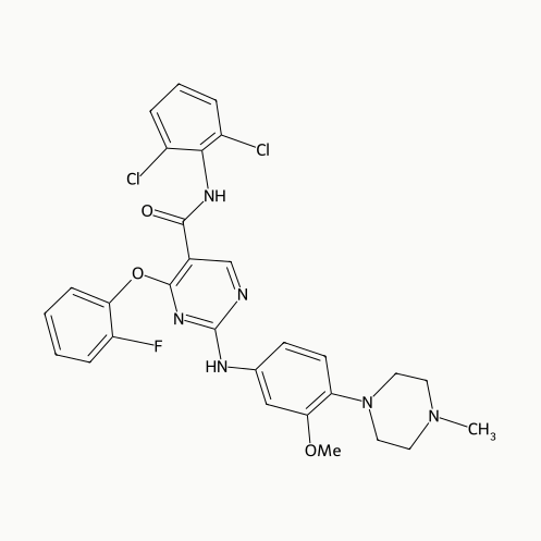 COc1cc(Nc2ncc(C(=O)Nc3c(Cl)cccc3Cl)c(Oc3ccccc3F)n2)ccc1N1CCN(C)CC1